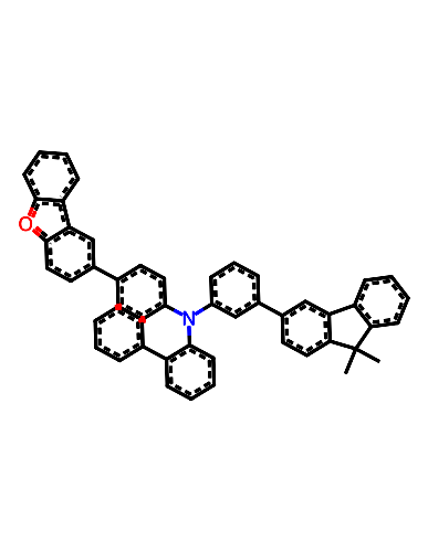 CC1(C)c2ccccc2-c2cc(-c3cccc(N(c4ccc(-c5ccc6oc7ccccc7c6c5)cc4)c4ccccc4-c4ccccc4)c3)ccc21